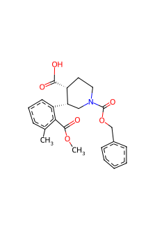 COC(=O)c1c(C)cccc1[C@H]1CN(C(=O)OCc2ccccc2)CC[C@H]1C(=O)O